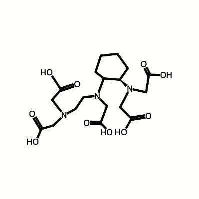 O=C(O)CN(CCN(CC(=O)O)C1CCCC[C@H]1N(CC(=O)O)CC(=O)O)CC(=O)O